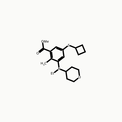 CCN(c1cc(SC2CCC2)cc(C(=O)OC)c1C)C1CCOCC1